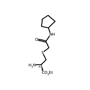 CCOC(=O)[C@@H](N)CSCC(=O)NC1CCCC1